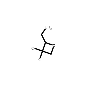 CCC1OCC1(Cl)Cl